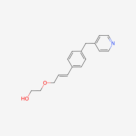 OCCOCC=Cc1ccc(Cc2ccncc2)cc1